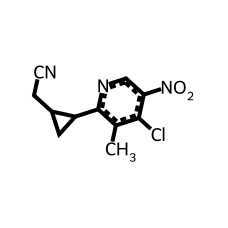 Cc1c(C2CC2CC#N)ncc([N+](=O)[O-])c1Cl